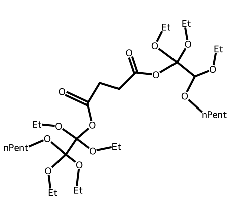 CCCCCOC(OCC)C(OCC)(OCC)OC(=O)CCC(=O)OC(OCC)(OCC)C(OCC)(OCC)OCCCCC